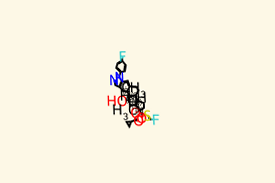 C[C@]12Cc3cnn(-c4ccc(F)cc4)c3C=C1CC[C@@H]1[C@@H]2[C@@H](O)C[C@@]2(C)[C@H]1CC[C@]2(OC(=O)C1CC1)C(=O)SCF